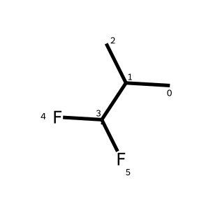 CC(C)[C](F)F